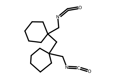 O=C=NCC1(CC2(CN=C=O)CCCCC2)CCCCC1